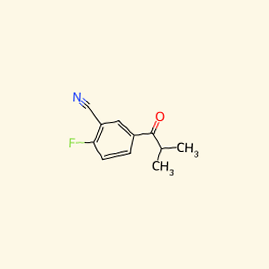 CC(C)C(=O)c1ccc(F)c(C#N)c1